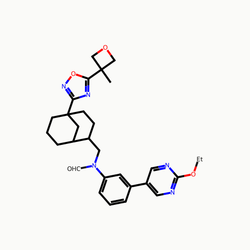 CCOc1ncc(-c2cccc(N(C=O)CC3CCC4(c5noc(C6(C)COC6)n5)CCCC3C4)c2)cn1